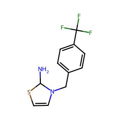 NC1SC=CN1Cc1ccc(C(F)(F)F)cc1